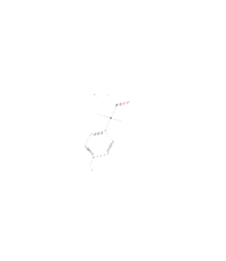 CNC(=O)C(C)(C(=O)O)c1ccc(O)cc1